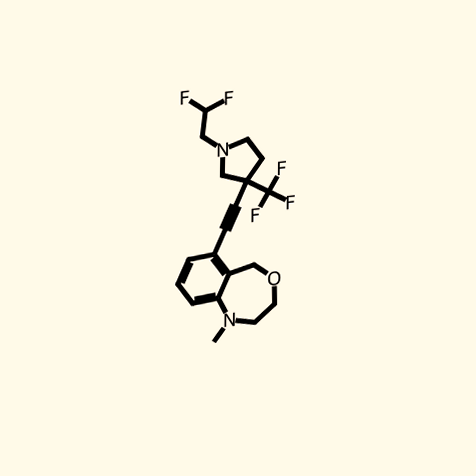 CN1CCOCc2c(C#CC3(C(F)(F)F)CCN(CC(F)F)C3)cccc21